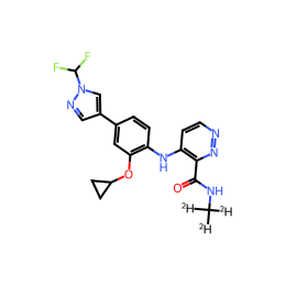 [2H]C([2H])([2H])NC(=O)c1nnccc1Nc1ccc(-c2cnn(C(F)F)c2)cc1OC1CC1